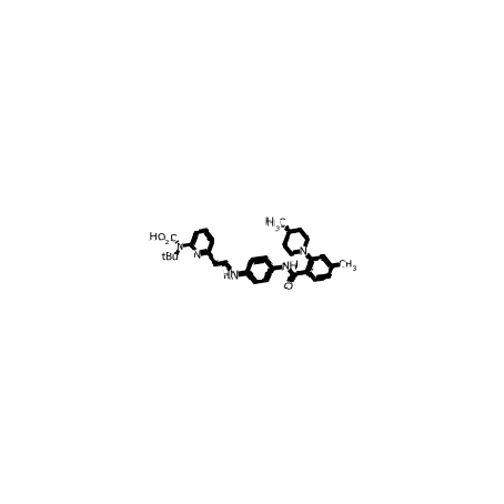 Cc1ccc(C(=O)Nc2ccc(NCCc3cccc(N(C(=O)O)C(C)(C)C)n3)cc2)c(N2CCC(C)CC2)c1